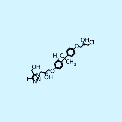 CC(C)(c1ccc(OC[C@@H](O)Cn2nnc(I)c2CO)cc1)c1ccc(OC[C@@H](O)CCl)cc1